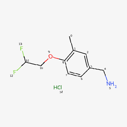 Cc1cc(CN)ccc1OCC(F)F.Cl